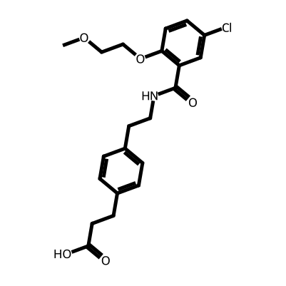 COCCOc1ccc(Cl)cc1C(=O)NCCc1ccc(CCC(=O)O)cc1